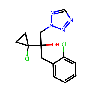 OC(Cc1ccccc1Cl)(Cn1ncnn1)C1(Cl)CC1